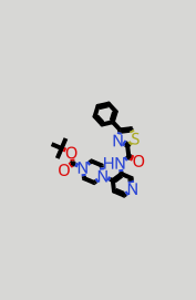 CC(C)(C)OC(=O)N1CCN(c2ccncc2NC(=O)c2nc(-c3ccccc3)cs2)CC1